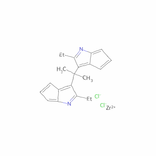 CCC1=NC2=CC=CC2=C1C(C)(C)C1=C2C=CC=C2N=C1CC.[Cl-].[Cl-].[Zr+2]